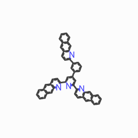 c1cc(-c2cc(-c3ccc4cc5ccccc5cc4n3)nc(-c3ccc4cc5ccccc5cc4n3)c2)cc(-c2ccc3cc4ccccc4cc3n2)c1